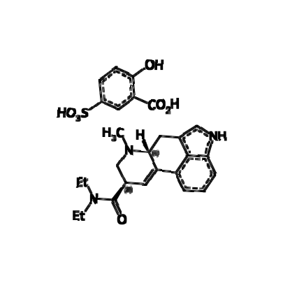 CCN(CC)C(=O)[C@@H]1C=C2c3cccc4[nH]cc(c34)C[C@H]2N(C)C1.O=C(O)c1cc(S(=O)(=O)O)ccc1O